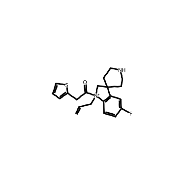 C=CC[N+]1(C(=O)Cc2cccs2)CC2(CCNCC2)c2cc(F)ccc21